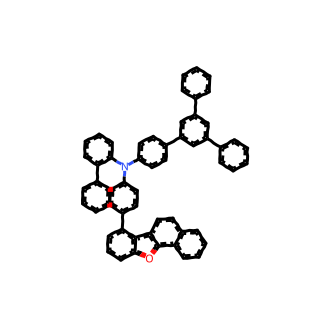 c1ccc(-c2cc(-c3ccccc3)cc(-c3ccc(N(c4ccc(-c5cccc6oc7c8ccccc8ccc7c56)cc4)c4ccccc4-c4ccccc4)cc3)c2)cc1